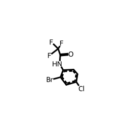 O=C(Nc1ccc(Cl)cc1Br)C(F)(F)F